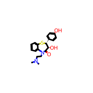 CN(C)CCN1C(=O)[C@@H](O)[C@@H](c2ccc(O)cc2)Sc2ccccc21